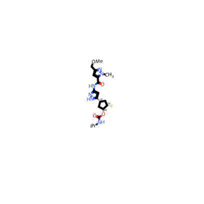 COCc1cc(C(=O)Nc2cc([C@@H]3C[C@H](F)[C@H](OC(=O)NC(C)C)C3)[nH]n2)n(C)n1